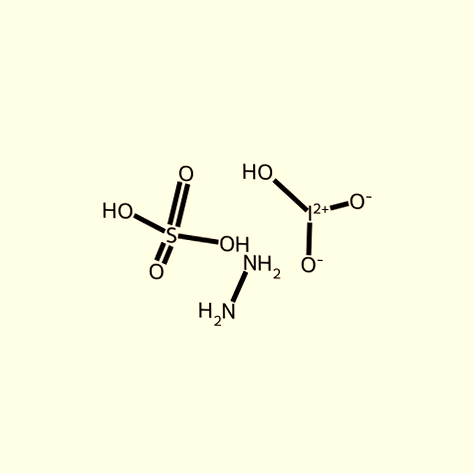 NN.O=S(=O)(O)O.[O-][I+2]([O-])O